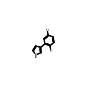 Clc1ccc(Cl)c(-c2[c][nH]cc2)c1